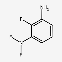 Nc1cccc(N(F)F)c1F